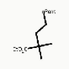 CCCCCCCC(C)(C)C(=O)OCC